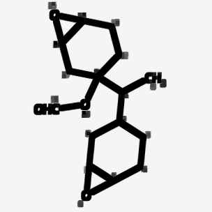 CC(C1CCC2OC2C1)C1(OC=O)CCC2OC2C1